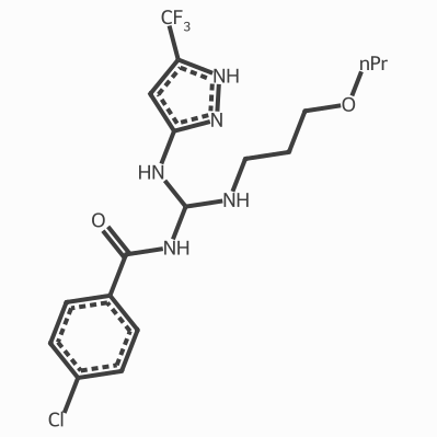 CCCOCCCNC(NC(=O)c1ccc(Cl)cc1)Nc1cc(C(F)(F)F)[nH]n1